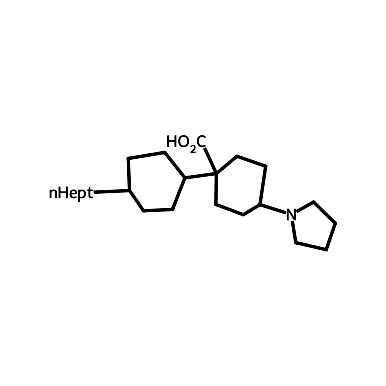 CCCCCCCC1CCC(C2(C(=O)O)CCC(N3CCCC3)CC2)CC1